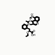 CCOC(Cc1ccccc1OCc1cnc2cccc([N+](=O)[O-])c2c1OC(C)C)C(=O)O